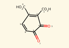 O=C(O)C1=C(C(=O)O)C(=O)C(=O)C=C1